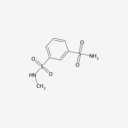 CNS(=O)(=O)c1cccc(S(N)(=O)=O)c1